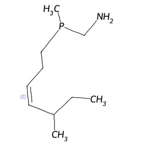 CCC(C)/C=C\CCP(C)CN